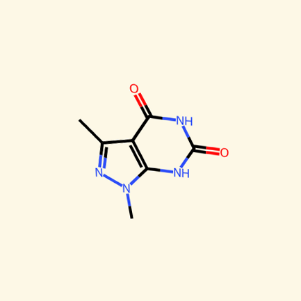 Cc1nn(C)c2[nH]c(=O)[nH]c(=O)c12